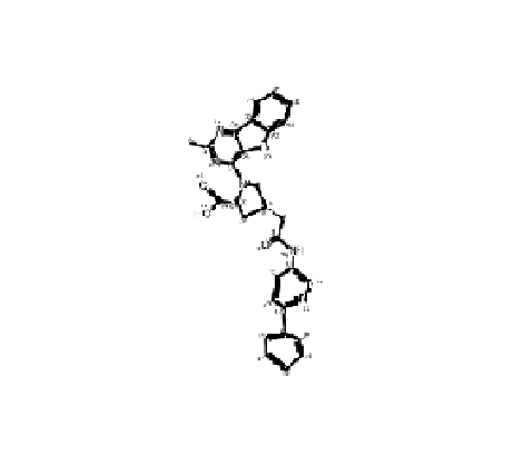 Cc1nc(N2C[C@@H](CC(=O)Nc3ccc(-c4ccccc4)nn3)C[C@H]2C(=O)O)c2oc3ccccc3c2n1